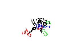 CC(C)(C)C[C@@H]1N[C@@H](C(=O)Nc2ccc(CCC(=O)O)cc2)[C@H](c2cccc(Cl)c2F)[C@]12C(=O)Nc1cc(Cl)ccc12